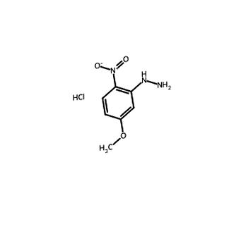 COc1ccc([N+](=O)[O-])c(NN)c1.Cl